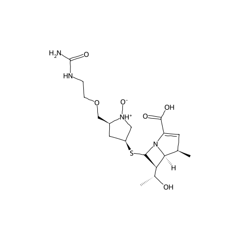 C[C@@H]1C=C(C(=O)O)N2C(S[C@H]3C[C@@H](COCCNC(N)=O)[NH+]([O-])C3)[C@H]([C@@H](C)O)[C@H]12